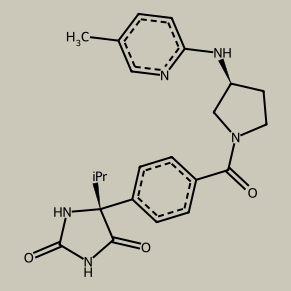 Cc1ccc(N[C@H]2CCN(C(=O)c3ccc([C@@]4(C(C)C)NC(=O)NC4=O)cc3)C2)nc1